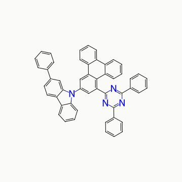 c1ccc(-c2ccc3c4ccccc4n(-c4cc(-c5nc(-c6ccccc6)nc(-c6ccccc6)n5)c5c6ccccc6c6ccccc6c5c4)c3c2)cc1